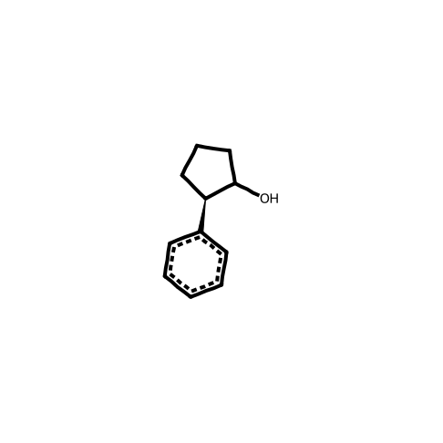 OC1CCC[C@@H]1c1ccccc1